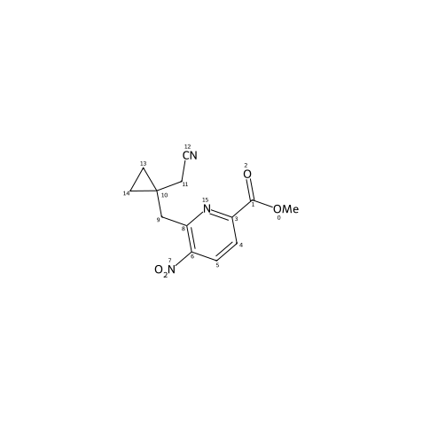 COC(=O)c1ccc([N+](=O)[O-])c(CC2(CC#N)CC2)n1